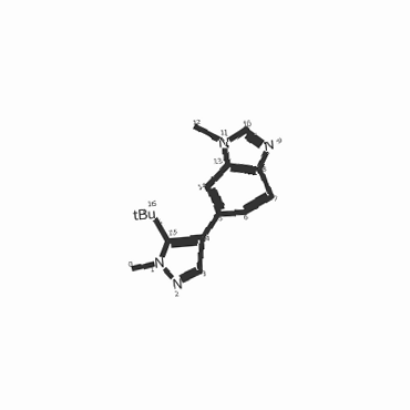 Cn1ncc(-c2ccc3ncn(C)c3c2)c1C(C)(C)C